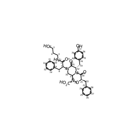 O=C(NCCCO)C(Cc1ccccc1)N1CC2N(C(=O)O)O[C@H](Cc3ccccc3)C(=O)N2[C@@H](Cc2ccc(O)cc2)C1=O